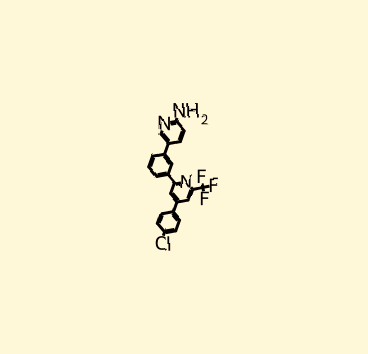 Nc1ccc(-c2cccc(-c3cc(-c4ccc(Cl)cc4)cc(C(F)(F)F)n3)c2)cn1